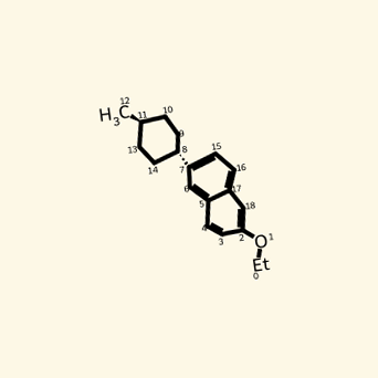 CCOc1ccc2cc([C@H]3CC[C@H](C)CC3)ccc2c1